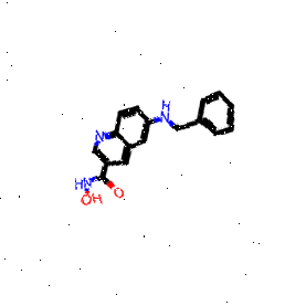 O=C(NO)c1cnc2ccc(NCc3ccccc3)cc2c1